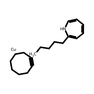 C1#CCCCCCC1.CCCCCC1=CC=CC=CN1.[Cu]